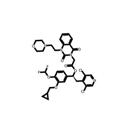 O=C(Cn1c(=O)c2ccccc2n(CCN2CCOCC2)c1=O)O[C@@H](Cc1c(Cl)cncc1Cl)c1ccc(OC(F)F)c(OCC2CC2)c1